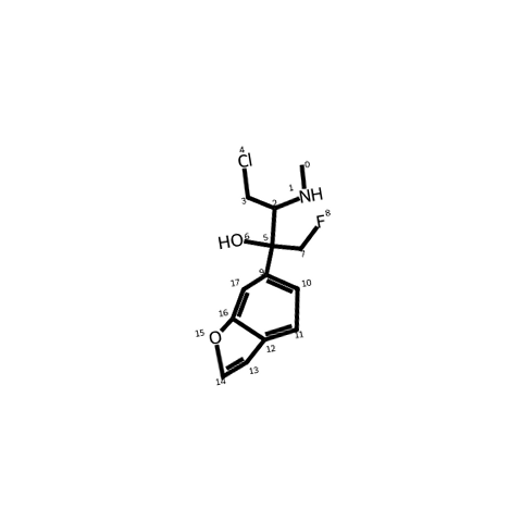 CNC(CCl)C(O)(CF)c1ccc2ccoc2c1